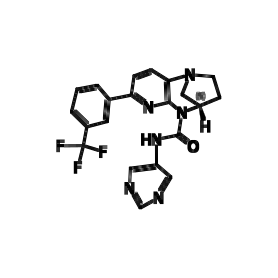 O=C(Nc1cncnc1)N1c2nc(-c3cccc(C(F)(F)F)c3)ccc2N2CC[C@H]1C2